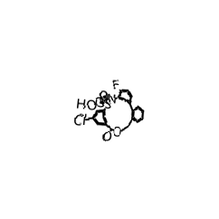 O=C1OCCc2ccccc2-c2ccc(F)c(c2)NS(=O)(=O)c2cc1cc(Cl)c2O